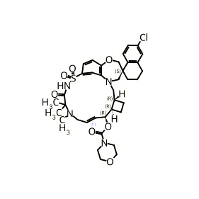 CN1C/C=C/[C@H](OC(=O)N2CCOCC2)[C@@H]2CC[C@H]2CN2C[C@@]3(CCCc4cc(Cl)ccc43)COc3ccc(cc32)S(=O)(=O)NC(=O)C1(C)C